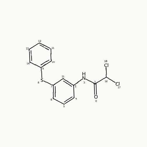 O=C(Nc1cccc(Sc2ccccc2)c1)C(Cl)Cl